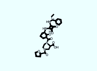 CC[C@@H](Nc1c(Nc2cccc(C(=O)N3CCN(C(=O)c4ccco4)CC3C(=O)O)c2O)c(=O)c1=O)c1ccccc1